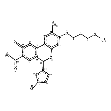 COCCCOc1cc2c(cc1C)-c1cc(=O)c(C(=O)O)cn1[C@H](c1ccc(Cl)s1)O2